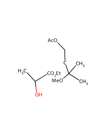 CCOC(=O)C(C)O.COC(C)(C)CCOC(C)=O